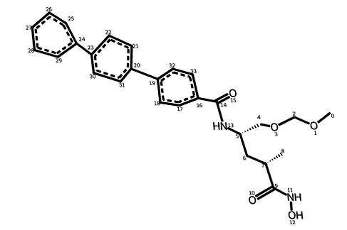 COCOC[C@H](C[C@H](C)C(=O)NO)NC(=O)c1ccc(-c2ccc(-c3ccccc3)cc2)cc1